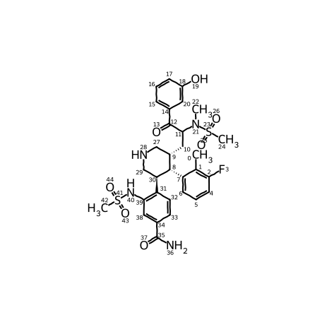 Cc1c(F)cccc1[C@H]1[C@@H](CC(C(=O)c2cccc(O)c2)N(C)S(C)(=O)=O)CNC[C@@H]1c1ccc(C(N)=O)cc1NS(C)(=O)=O